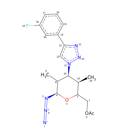 CC(=O)OCC1O[C@@H](N=[N+]=[N-])C(C)[C@@H](n2cc(-c3cccc(F)c3)nn2)[C@H]1C